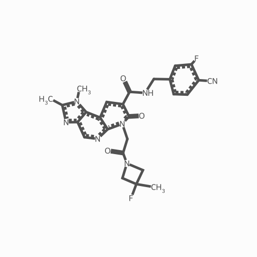 Cc1nc2cnc3c(cc(C(=O)NCc4ccc(C#N)c(F)c4)c(=O)n3CC(=O)N3CC(C)(F)C3)c2n1C